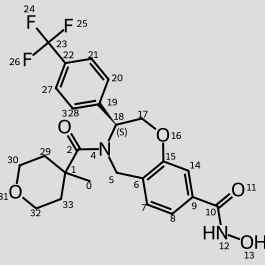 CC1(C(=O)N2Cc3ccc(C(=O)NO)cc3OC[C@@H]2c2ccc(C(F)(F)F)cc2)CCOCC1